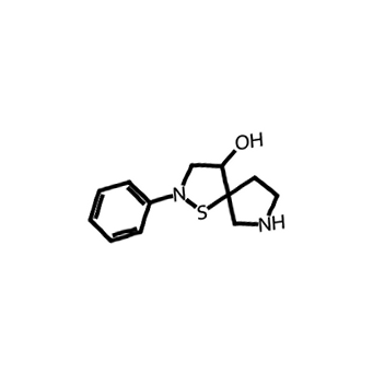 OC1CN(c2ccccc2)SC12CCNC2